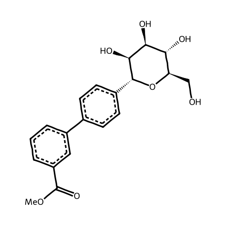 COC(=O)c1cccc(-c2ccc([C@H]3O[C@H](CO)[C@@H](O)[C@H](O)[C@@H]3O)cc2)c1